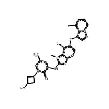 Cn1c(Nc2cc(C(F)(F)F)cn(C3CC(O)C3)c2=O)nc2ncc(Oc3cnn4cccc(F)c34)c(Cl)c21